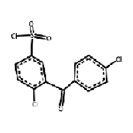 O=C(c1ccc(Cl)cc1)c1cc(S(=O)(=O)Cl)ccc1Cl